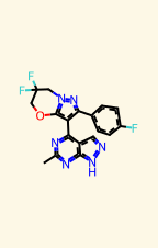 Cc1nc(-c2c(-c3ccc(F)cc3)nn3c2OCC(F)(F)C3)c2cn[nH]c2n1